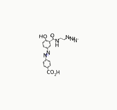 [N-]=[N+]=NCCNC(=O)c1cc(/N=N/c2ccc(C(=O)O)cc2)ccc1O